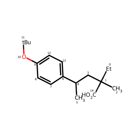 CCC(C)(CC(C)c1ccc(OC(C)(C)C)cc1)C(=O)O